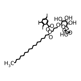 CCCCCCCCCCCCCCCCCC(=O)OCC(CO[C@H]1O[C@H](CS(=O)(=O)O)[C@@H](O)[C@H](O)[C@H]1O)OC(=O)c1cc(I)cc(I)c1I